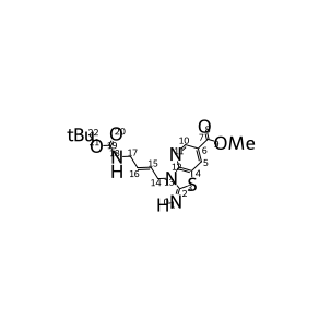 [H]/N=c1/sc2cc(C(=O)OC)cnc2n1CC=CCNC(=O)OC(C)(C)C